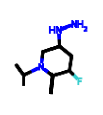 CC(C)N1CC(NN)CC(F)C1C